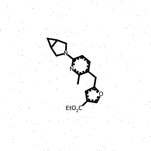 CCOC(=O)c1coc(Cc2ccc(N3CC4CC4C3)nc2C)c1